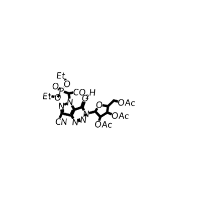 CCOP(=O)(OCC)C(C(=O)O)n1nc(C#N)c2nnn(C3OC(COC(C)=O)C(OC(C)=O)C3OC(C)=O)c(=O)c21